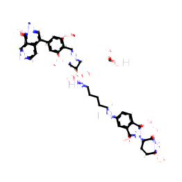 COc1cc(-c2cn(C)c(=O)c3cnccc23)cc(OC)c1CN1CC(S(=O)(=O)NCCCCCNc2ccc3c(c2)C(=O)N(C2CCC(=O)NC2=O)C3=O)C1.O=CO